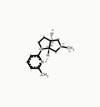 Cc1cccc(N2CC[C@H]3CN(C)C[C@@H]32)n1